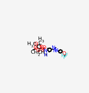 C=CCO[C@@H]1[C@@H](OC)[C@H](C)O[C@@H](OC(=O)Nc2ccc(-c3ncn(-c4ccc(OC(F)(F)F)cc4)n3)cc2)[C@@H]1OC